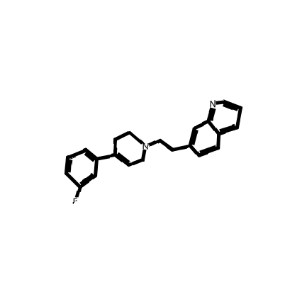 Fc1cccc(C2=CCN(CCc3ccc4cccnc4c3)CC2)c1